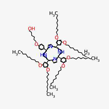 CCCCCCCCCCOc1cc(OCCCCCCCCCC)cc(-c2c3nc(c(-c4cc(OCCCCCCCCCC)cc(OCCCCCCCCCC)c4)c4ccc([nH]4)c(-c4cc(OCCCCCCCCCC)cc(OCCCCCCCCCC)c4)c4nc(c(-c5ccc(OCCCCCCO)cc5)c5ccc2[nH]5)C=C4)C=C3)c1